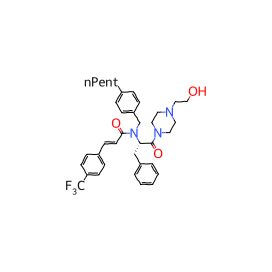 CCCCCc1ccc(CN(C(=O)/C=C/c2ccc(C(F)(F)F)cc2)[C@@H](Cc2ccccc2)C(=O)N2CCN(CCO)CC2)cc1